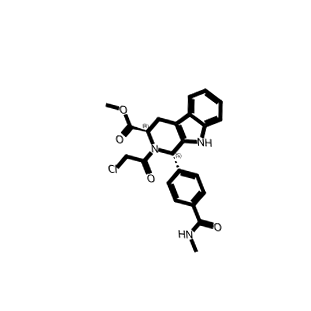 CNC(=O)c1ccc([C@H]2c3[nH]c4ccccc4c3C[C@H](C(=O)OC)N2C(=O)CCl)cc1